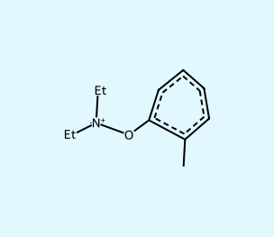 CC[N+](CC)Oc1ccccc1C